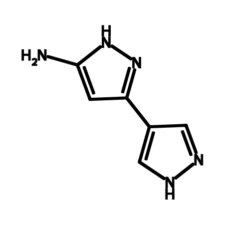 Nc1cc(-c2cn[nH]c2)n[nH]1